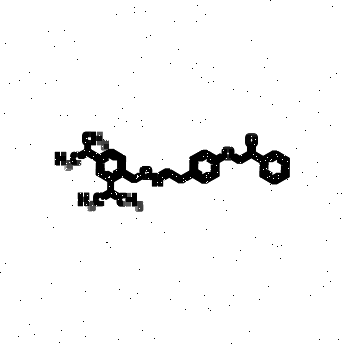 CC(C)c1ccc(CON=CCc2ccc(OCC(=O)c3ccccc3)cc2)c(C(C)C)c1